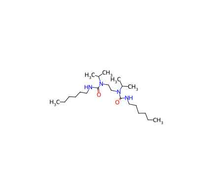 CCCCCCNC(=O)N(CCN(C(=O)NCCCCCC)C(C)C)C(C)C